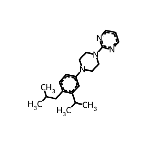 CC(C)Cc1ccc(N2CCN(c3ncccn3)CC2)cc1C(C)C